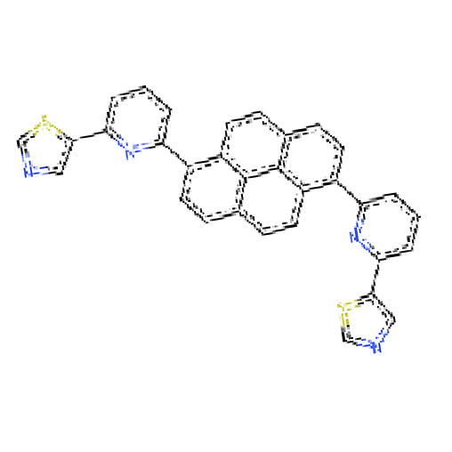 c1cc(-c2cncs2)nc(-c2ccc3ccc4c(-c5cccc(-c6cncs6)n5)ccc5ccc2c3c54)c1